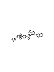 NCCNS(=O)(=O)c1ccc(C(=O)N2CCOc3ccc(-c4cnc5ccccc5c4)cc3C2)cc1